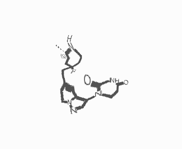 C[C@H]1CC(F)(Cc2ccn3ncc(N4CCC(=O)NC4=O)c3c2)CCN1